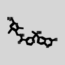 Cc1cc(N)nc(C)c1CNC(=O)c1ccnc(C(C)(O)c2ccc3ncc(Cl)cc3c2)c1